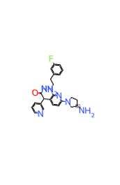 NC(=O)C(c1cccnc1)c1ccc(N2CC[C@H](N)C2)nc1NCCc1cccc(F)c1